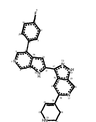 Fc1ccc(-c2cncc3[nH]c(-c4n[nH]c5cnc(C6=CCNCC6)cc45)cc23)cc1